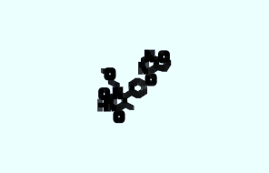 COCCn1c(-c2ccc(Oc3ncnc4occc34)cc2)c(C)c(=O)[nH]c1=O